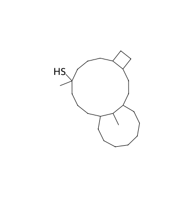 CC1C2CCCCCCCC1CCC1CCC1CCCC(C)(S)CCC2